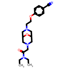 CCN(CC)C(=O)CN1CC2CN(CCOc3ccc(C#N)cc3)CC(C1)O2